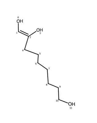 OC=C(O)CCCCCCCO